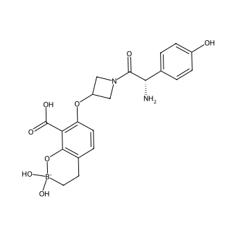 N[C@H](C(=O)N1CC(Oc2ccc3c(c2C(=O)O)O[B-](O)(O)CC3)C1)c1ccc(O)cc1